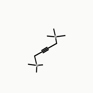 C[Si](C)(C)CC#CC[Si](C)(C)C